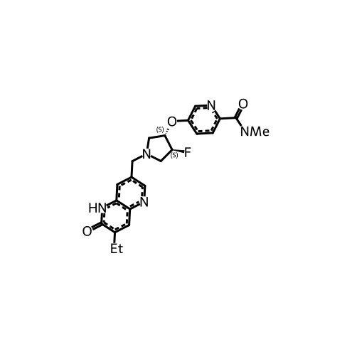 CCc1cc2ncc(CN3C[C@H](Oc4ccc(C(=O)NC)nc4)[C@@H](F)C3)cc2[nH]c1=O